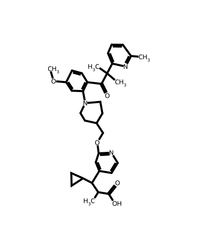 COc1ccc(C(=O)C(C)(C)c2cccc(C)n2)c(N2CCC(COc3cc(C(C4CC4)C(C)C(=O)O)ccn3)CC2)c1